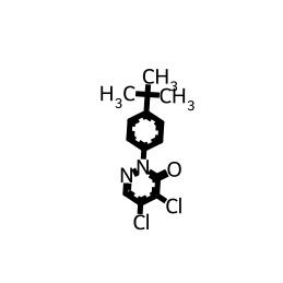 CC(C)(C)c1ccc(-n2ncc(Cl)c(Cl)c2=O)cc1